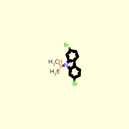 C[SH](C)n1c2cc(Br)ccc2c2ccc(Br)cc21